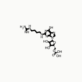 N=C(N)NCCCCNc1nc(S)c2ncn([C@@H]3O[C@H](COP(=O)(O)O)C(O)C3O)c2n1